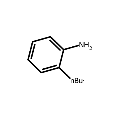 CCC[CH]c1ccccc1N